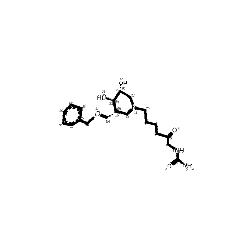 NC(=O)NCC(=O)CCCCN1C[C@H](COCc2ccccc2)[C@@H](O)[C@H](O)C1